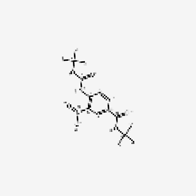 CC(C)(C)OC(=O)Nc1ccc(C(=O)OC(C)(C)C)cc1[N+](=O)[O-]